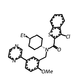 CC[C@H]1CC[C@H](N(Cc2cc(-c3cnccn3)ccc2OC)C(=O)c2sc3ccccc3c2Cl)CC1